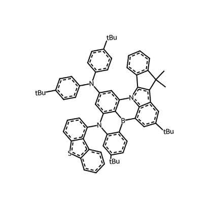 CC(C)(C)c1ccc(N(c2ccc(C(C)(C)C)cc2)c2cc3c4c(c2)-n2c5c(c6cc(C(C)(C)C)cc(c62)B4c2ccc(C(C)(C)C)cc2N3c2cccc3sc4ccccc4c23)C(C)(C)c2ccccc2-5)cc1